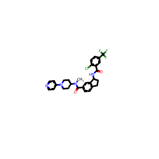 CN(C(=O)c1ccc2c(c1)C(NC(=O)c1cc(C(F)(F)F)ccc1Cl)CC2)C1CCN(c2ccncc2)CC1